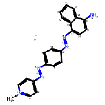 C[n+]1ccc(/N=N/c2ccc(/N=N/c3ccc(N)c4ccccc34)cc2)cc1.[I-]